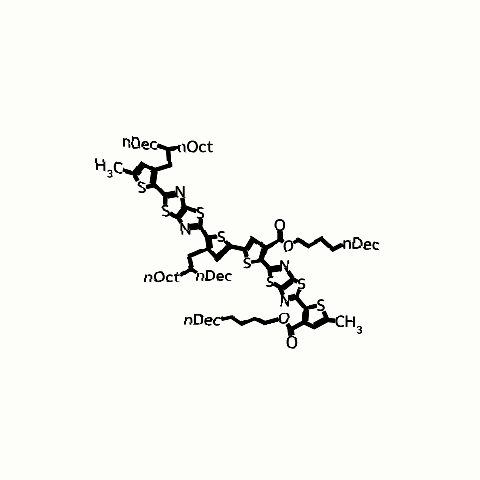 CCCCCCCCCCCCCCOC(=O)c1cc(C)sc1-c1nc2sc(-c3sc(-c4cc(CC(CCCCCCCC)CCCCCCCCCC)c(-c5nc6sc(-c7sc(C)cc7CC(CCCCCCCC)CCCCCCCCCC)nc6s5)s4)cc3C(=O)OCCCCCCCCCCCCCC)nc2s1